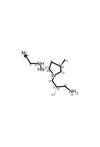 C[C@@H]1C[C@@H](NNCC#N)N(C[C@@H](C)CN)C1